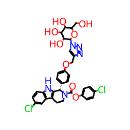 O=C(Oc1ccc(Cl)cc1)N1CCc2c([nH]c3ccc(Cl)cc23)[C@@H]1c1ccc(OCc2cn([C@@H]3OC(CO)C(O)C(O)C3O)nn2)cc1